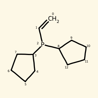 C=CP(C1CCCC1)C1CCCC1